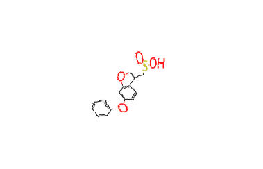 O=S(O)CC1COc2cc(Oc3ccccc3)ccc21